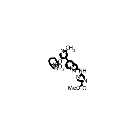 COC(=O)c1cnc(Nc2cc3cc(-c4cc(C)ncc4OC45CCCC(COC4)N5C(=O)O)ccn3n2)cn1